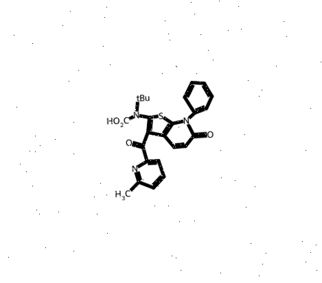 Cc1cccc(C(=O)c2c(N(C(=O)O)C(C)(C)C)sc3c2ccc(=O)n3-c2ccccc2)n1